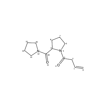 C=CCC(=O)N1CCCC1C(=O)N1CCCC1